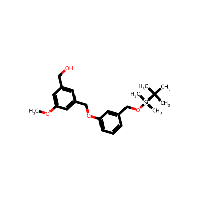 COc1cc(CO)cc(COc2cccc(CO[Si](C)(C)C(C)(C)C)c2)c1